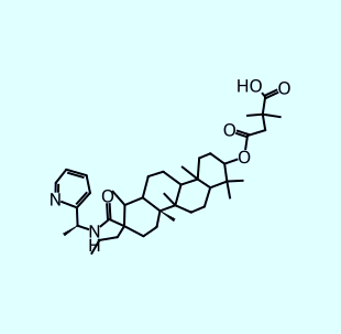 CCCC1(C(=O)N[C@@H](C)c2ccccn2)CC[C@]2(C)C(CCC3C4(C)CCC(OC(=O)CC(C)(C)C(=O)O)C(C)(C)C4CCC32C)C1C